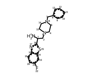 NC(CN1CCN(Cc2ccccc2)CC1)c1nc2ccc(F)cc2s1